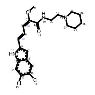 CO/C(=C/C=C/c1cc2cc(Cl)c(Cl)cc2[nH]1)C(=O)NCCN1CCCCC1